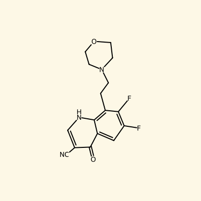 N#Cc1c[nH]c2c(CCN3CCOCC3)c(F)c(F)cc2c1=O